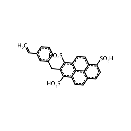 C=Cc1cccc(Cc2c(S(=O)(=O)O)c3ccc4ccc(S(=O)(=O)O)c5ccc(c2S(=O)(=O)O)c3c45)c1